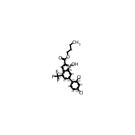 CCCCOC(=O)c1cc2c(C(F)(F)F)cc(-c3ccc(Cl)cc3Cl)cc2n1O